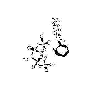 Cc1ccccn1.O=P([O-])([O-])OP(=O)([O-])OP(=O)([O-])OP(=O)([O-])[O-].[Na+].[Na+].[Na+].[Na+].[Na+].[Na+]